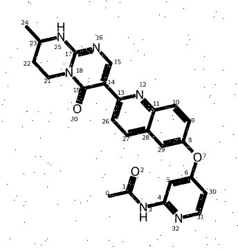 CC(=O)Nc1cc(Oc2ccc3nc(-c4cnc5n(c4=O)CCC(C)N5)ccc3c2)ccn1